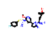 COc1ncc(-c2ccc(=N)n(C(=N)C#CC(C)(C)O)n2)cc1NSc1ccc(F)cc1